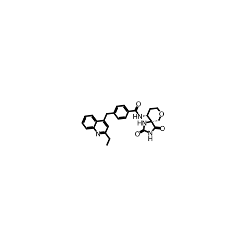 CCc1cc(Cc2ccc(C(=O)N[C@@H]3CCOC[C@]34NC(=O)NC4=O)cc2)c2ccccc2n1